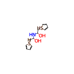 OC(C[SH]1C=CC=C1)NC(O)C[SH]1C=CC=C1